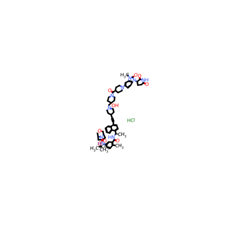 Cc1ccc(NC2CC3COCC(C2)N3C(=O)OC(C)(C)C)cc1C(=O)N[C@H](C)c1ccc(C#CC2CCN(CC3(O)CCN(C(=O)C4CCN(c5ccc6c(c5)n(C)c(=O)n6C5CCC(=O)NC5=O)CC4)CC3)CC2)c2ccccc12.Cl